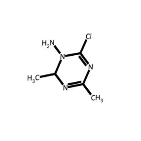 CC1=NC(C)N(N)C(Cl)=N1